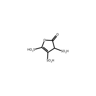 O=C1OC(S(=O)(=O)O)=C(S(=O)(=O)O)C1S(=O)(=O)O